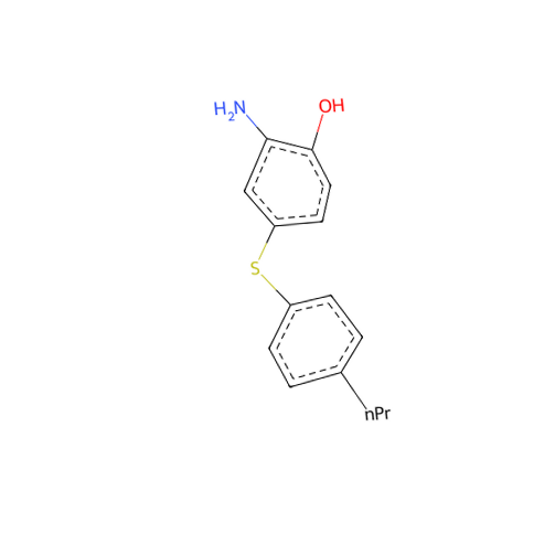 CCCc1ccc(Sc2ccc(O)c(N)c2)cc1